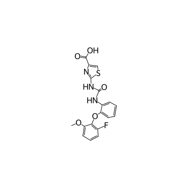 COc1cccc(F)c1Oc1ccccc1NC(=O)Nc1nc(C(=O)O)cs1